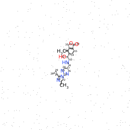 Cc1cn(-c2ncc(CNC[C@H](O)c3ccc4c(c3C)COC4=O)cn2)c(C2CC2)n1